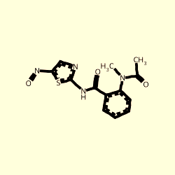 CC(=O)N(C)c1ccccc1C(=O)Nc1ncc(N=O)s1